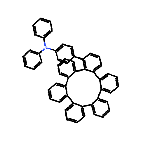 c1ccc(N(c2ccccc2)c2ccc(-c3cccc4c3-c3ccccc3-c3ccccc3-c3ccccc3-c3ccccc3-c3ccccc3-4)cc2)cc1